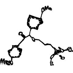 CCOP(=O)(CCCOC(C(=O)c1ccc(OC)cc1)c1ccc(OC)cc1)OCC